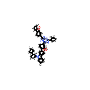 c1ccc(-c2cccc(-n3c4ccccc4c4cc5oc6cc(-c7nc(-c8ccccc8)nc(-c8ccc9c(c8)oc8ccccc89)n7)ccc6c5cc43)c2)cc1